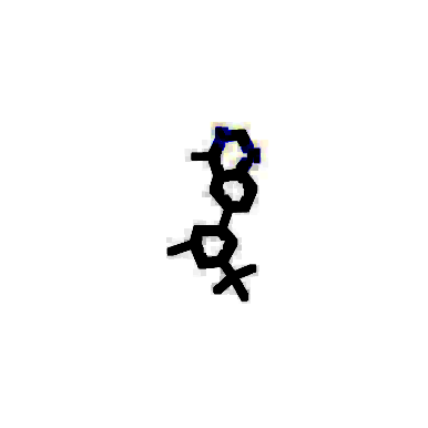 Cc1cc(-c2ccc3ncnc(C)c3c2)cc(C(C)(C)C)c1